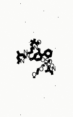 CCc1nc2c(C)cc(C)nc2n1Cc1ccc(-c2ccccc2S(=O)(=O)N(COCCOC)c2onc(C)c2C)c(CN2CCC(C)(C)C2=O)c1